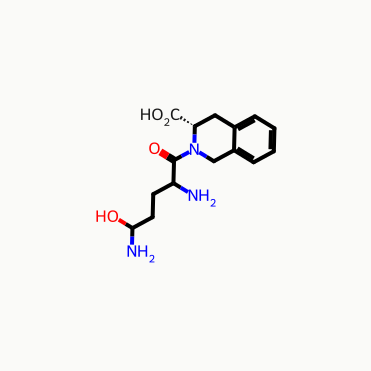 NC(O)CCC(N)C(=O)N1Cc2ccccc2C[C@H]1C(=O)O